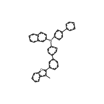 Cc1c(-c2cccc(-c3ccc(N(c4ccc(-c5ccccc5)cc4)c4ccc5ccccc5c4)cc3)c2)oc2ccccc12